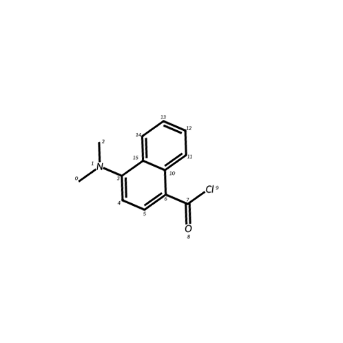 CN(C)c1ccc(C(=O)Cl)c2ccccc12